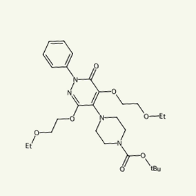 CCOCCOc1nn(-c2ccccc2)c(=O)c(OCCOCC)c1N1CCN(C(=O)OC(C)(C)C)CC1